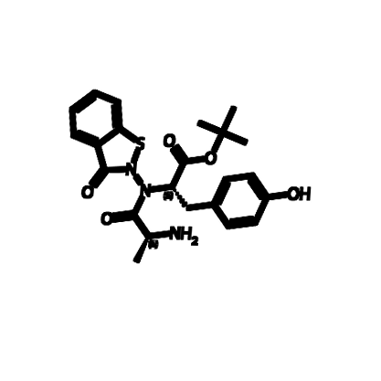 C[C@H](N)C(=O)N([C@@H](Cc1ccc(O)cc1)C(=O)OC(C)(C)C)n1sc2ccccc2c1=O